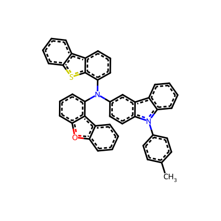 Cc1ccc(-n2c3ccccc3c3cc(N(c4cccc5c4sc4ccccc45)c4cccc5oc6ccccc6c45)ccc32)cc1